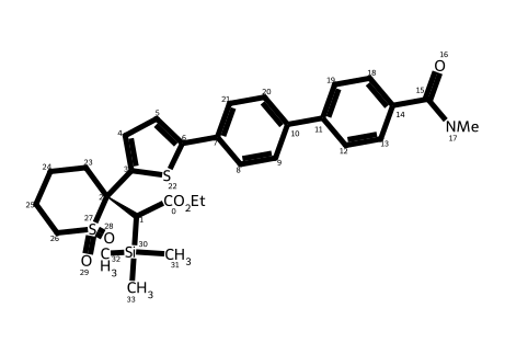 CCOC(=O)C([C@]1(c2ccc(-c3ccc(-c4ccc(C(=O)NC)cc4)cc3)s2)CCCCS1(=O)=O)[Si](C)(C)C